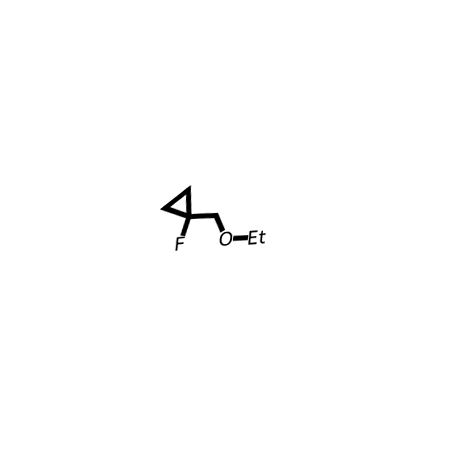 CCOCC1(F)CC1